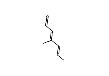 C/C=C/C(C)=C/C=O